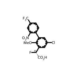 COc1c(-c2ccc(C(F)(F)F)cc2[N+](=O)[O-])cc(Cl)cc1[C@@H](F)C(=O)O